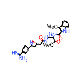 COC(=O)C(CNC(=O)CC1CC(c2ccc(C(=N)N)cc2)=NO1)NC(=O)c1[nH]c2ccccc2c1OC